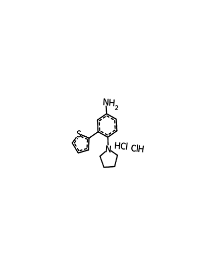 Cl.Cl.Nc1ccc(N2CCCC2)c(-c2cccs2)c1